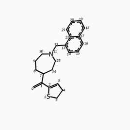 C=C(C1=CCCS1)C1CCCN(Cc2cccc3ccccc23)CC1